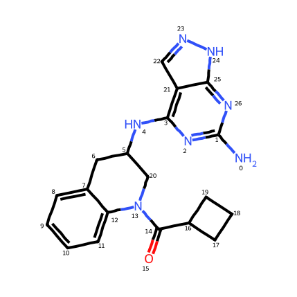 Nc1nc(NC2Cc3ccccc3N(C(=O)C3CCC3)C2)c2cn[nH]c2n1